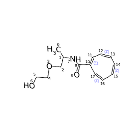 CC(COCCO)NC(=O)C1=C/C=C\C=C/C=C\1